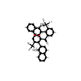 O=C(c1cccc(C(F)(F)F)c1-c1ccc2ccccc2c1O)c1cccc(C(F)(F)F)c1-c1ccc2ccccc2c1O